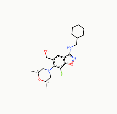 C[C@@H]1CN(c2c(CO)cc3c(NCC4CCCCC4)noc3c2F)C[C@H](C)O1